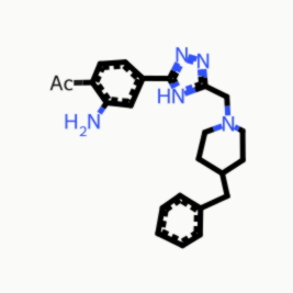 CC(=O)c1ccc(-c2nnc(CN3CCC(Cc4ccccc4)CC3)[nH]2)cc1N